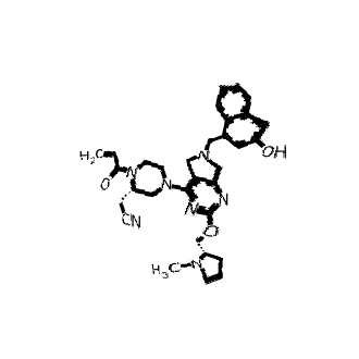 C=CC(=O)N1CCN(c2nc(OC[C@@H]3CCCN3C)nc3c2CN(Cc2cc(O)cc4ccccc24)C3)C[C@@H]1CC#N